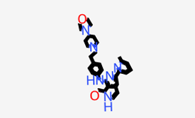 Cc1cccc(-c2cc3c(c(Nc4ccc(CCN5CCC(N6CCOCC6)CC5)cc4)n2)C(C=O)NC=C3)n1